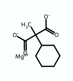 CC(C(=O)[O-])(C(=O)[O-])C1CCCCC1.[Mg+2]